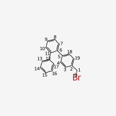 BrCc1ccc(-c2ccccc2-c2ccccc2)cc1